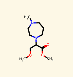 COCC(C(=O)OC)N1CCCN(C)CC1